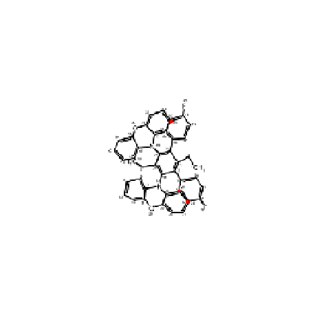 CCc1c(-c2ccc(F)cc2)c(N2c3ccccc3Oc3ccccc32)c(CC)c(N2c3ccccc3Oc3ccccc32)c1-c1ccc(F)cc1